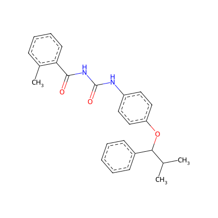 Cc1ccccc1C(=O)NC(=O)Nc1ccc(OC(c2ccccc2)C(C)C)cc1